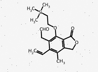 C=Cc1c(C)c2c(c(OCC[Si](C)(C)C)c1CC=O)C(=O)OC2